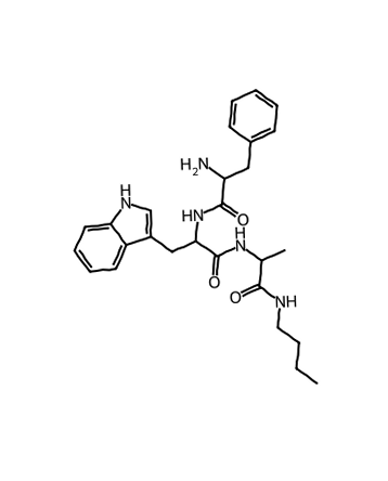 CCCCNC(=O)C(C)NC(=O)C(Cc1c[nH]c2ccccc12)NC(=O)C(N)Cc1ccccc1